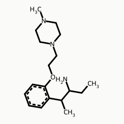 CCC(N)C(C)c1ccccc1OCCN1CCN(C)CC1